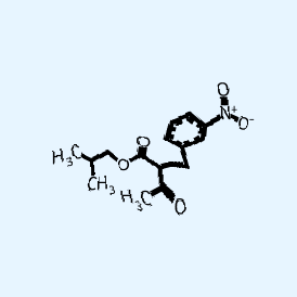 CC(=O)C(=Cc1cccc([N+](=O)[O-])c1)C(=O)OCC(C)C